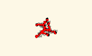 O=C(CCn1c(=O)n(CCC(=O)OCC(O)c2ccccc2)c(=O)n(CC(O)Cn2c(=O)n(CC(O)Cn3c(=O)n(CCC(=O)OCC(O)c4ccccc4)c(=O)n(CCC(=O)OCC(O)c4ccccc4)c3=O)c(=O)n(CC(O)Cn3c(=O)n(CCC(=O)OCC(O)c4ccccc4)c(=O)n(CCC(=O)OCC(O)c4ccccc4)c3=O)c2=O)c1=O)OCC(O)c1ccccc1